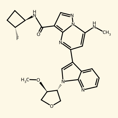 CNc1cc(-c2cn([C@@H]3COC[C@H]3OC)c3ncccc23)nc2c(C(=O)N[C@@H]3CC[C@H]3F)cnn12